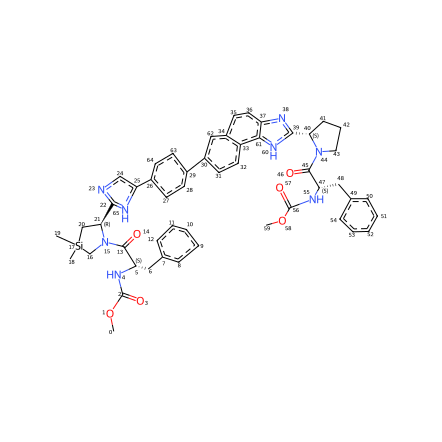 COC(=O)N[C@@H](Cc1ccccc1)C(=O)N1C[Si](C)(C)C[C@H]1c1ncc(-c2ccc(-c3ccc4c(ccc5nc([C@@H]6CCCN6C(=O)[C@H](Cc6ccccc6)NC(=O)OC)[nH]c54)c3)cc2)[nH]1